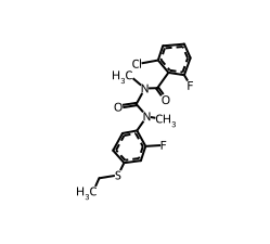 CCSc1ccc(N(C)C(=O)N(C)C(=O)c2c(F)cccc2Cl)c(F)c1